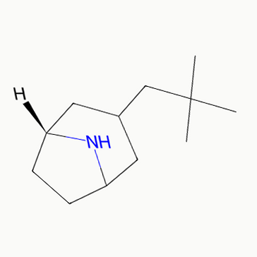 CC(C)(C)CC1CC2CC[C@H](C1)N2